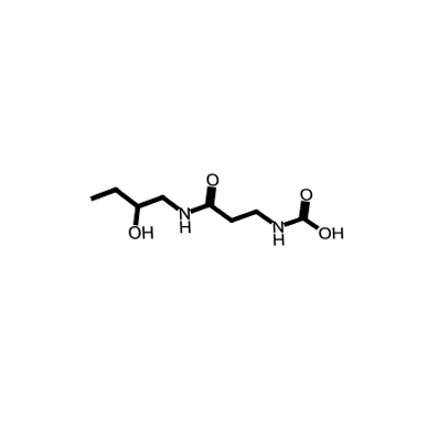 CCC(O)CNC(=O)CCNC(=O)O